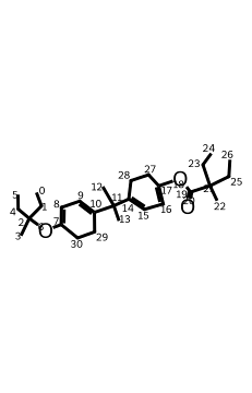 CCC(C)(CC)OC1=CC=C(C(C)(C)C2=CC=C(OC(=O)C(C)(CC)CC)CC2)CC1